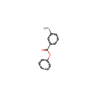 O=Cc1cccc(C(=O)Oc2ccccc2)c1